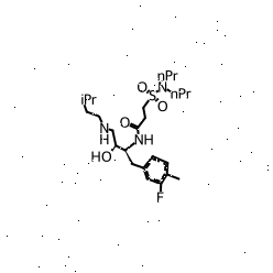 CCCN(CCC)S(=O)(=O)CCC(=O)N[C@@H](Cc1ccc(C)c(F)c1)[C@@H](O)CNCCC(C)C